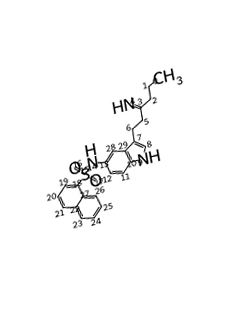 CCCC(=N)CCc1c[nH]c2ccc(NS(=O)(=O)c3cccc4ccccc34)cc12